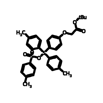 Cc1ccc(S(OS(=O)(=O)c2ccc(C)cc2)(c2ccc(C)cc2)c2ccc(OCC(=O)OC(C)(C)C)cc2)cc1